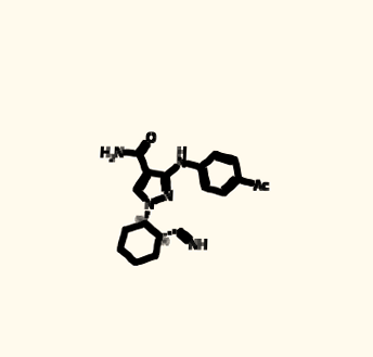 CC(=O)c1ccc(Nc2nn([C@H]3CCCC[C@H]3C=N)cc2C(N)=O)cc1